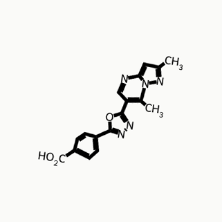 Cc1cc2ncc(-c3nnc(-c4ccc(C(=O)O)cc4)o3)c(C)n2n1